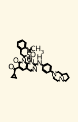 CN1c2ccccc2CC(n2c(=O)c(C(=O)C3CC3)cc3cnc(Nc4ccc(N5CCN6CCCC6C5)cc4)nc32)S1(=O)=O